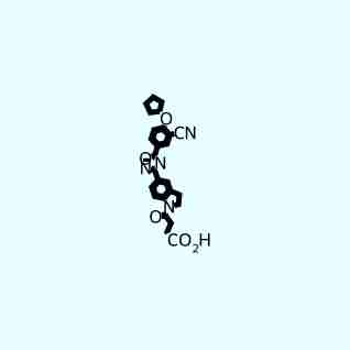 N#Cc1cc(-c2nc(-c3ccc4c(c3)CCN4C(=O)CCC(=O)O)no2)ccc1OC1CCCC1